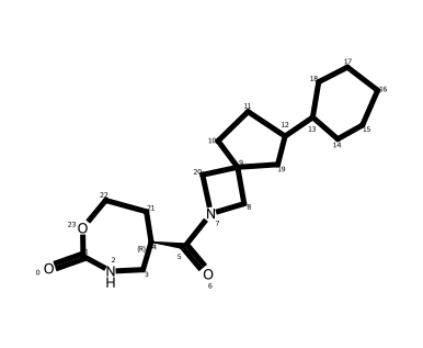 O=C1NC[C@H](C(=O)N2CC3(CCC(C4CCCCC4)C3)C2)CCO1